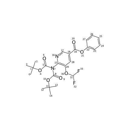 CC(C)(C)OC(=O)N(C(=O)OC(C)(C)C)c1ncc(C(=O)Oc2ccccc2)cc1OC(F)F